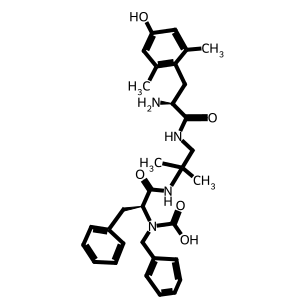 Cc1cc(O)cc(C)c1C[C@H](N)C(=O)NCC(C)(C)NC(=O)[C@H](Cc1ccccc1)N(Cc1ccccc1)C(=O)O